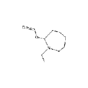 CCN1CCCCCC1OC=O